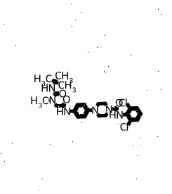 CN(CC(=O)Nc1ccc(N2CCN(C(=O)Nc3c(Cl)cccc3Cl)CC2)cc1)C(=O)NC(C)(C)C